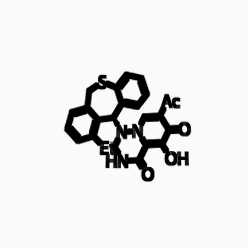 CCc1cccc2c1[C@H](N1CNC(=O)c3c(O)c(=O)c(C(C)=O)cn31)c1ccccc1SC2